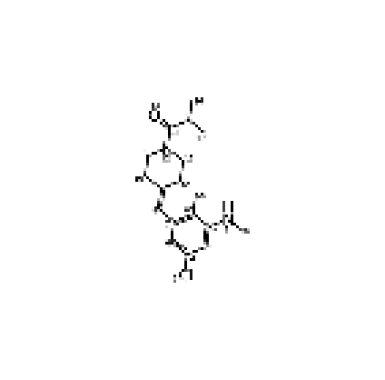 CNc1cc(Cl)cc(C=C2CCN(C(=O)C(C)C)CC2)c1C